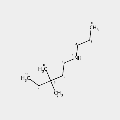 CCCNCCC(C)(C)CC